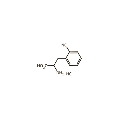 Cl.N#Cc1ccccc1CC(N)C(=O)O